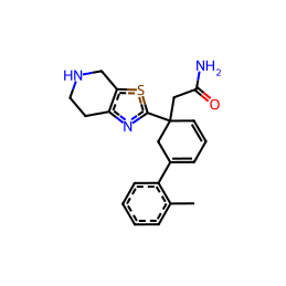 Cc1ccccc1C1=CC=CC(CC(N)=O)(c2nc3c(s2)CNCC3)C1